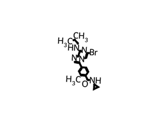 Cc1cc(-c2cnc3c(NCC(C)C)nc(Br)cn23)ccc1C(=O)NC1CC1